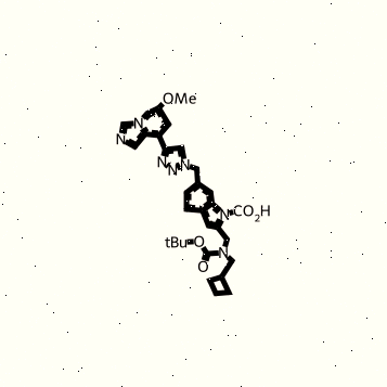 COc1cc(-c2cn(Cc3ccc4cc(CN(CC5CCC5)C(=O)OC(C)(C)C)n(C(=O)O)c4c3)nn2)c2cncn2c1